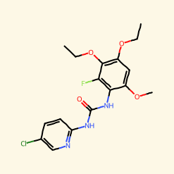 CCOc1cc(OC)c(NC(=O)Nc2ccc(Cl)cn2)c(F)c1OCC